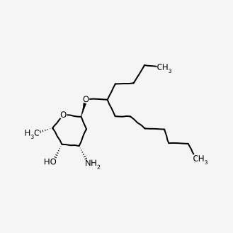 CCCCCCCC(CCCC)O[C@H]1C[C@H](N)[C@H](O)[C@H](C)O1